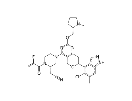 C=C(F)C(=O)N1CCN(c2nc(OC[C@@H]3CCCN3C)nc3c2COC(c2c(Cl)c(C)cc4[nH]ncc24)C3)C[C@@H]1CC#N